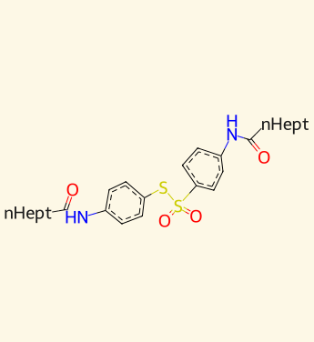 CCCCCCCC(=O)Nc1ccc(SS(=O)(=O)c2ccc(NC(=O)CCCCCCC)cc2)cc1